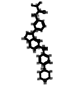 CC(C)C(=O)Nc1cccc(-c2csc3cnc(Nc4ccc(N5CCOCC5)nc4)nc23)c1